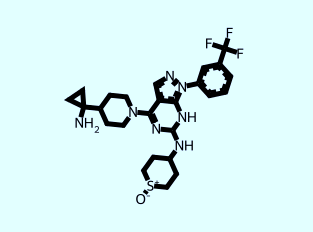 NC1(C2CCN(C3=NC(NC4CC[S+]([O-])CC4)Nc4c3cnn4-c3cccc(C(F)(F)F)c3)CC2)CC1